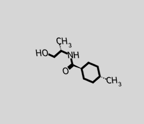 C[C@@H](CO)NC(=O)[C@H]1CC[C@H](C)CC1